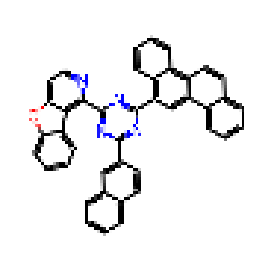 c1ccc2cc(-c3nc(-c4cc5c6ccccc6ccc5c5ccccc45)nc(-c4nccc5oc6ccccc6c45)n3)ccc2c1